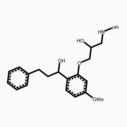 CCCNCC(O)COc1cc(OC)ccc1C(O)CCc1ccccc1